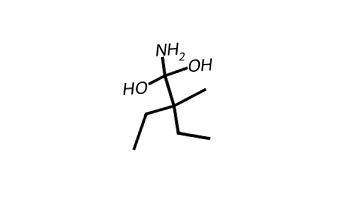 CCC(C)(CC)C(N)(O)O